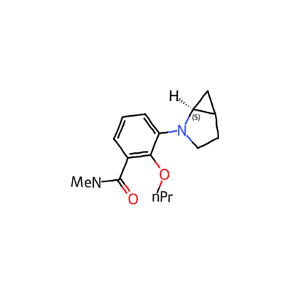 CCCOc1c(C(=O)NC)cccc1N1CCC2C[C@@H]21